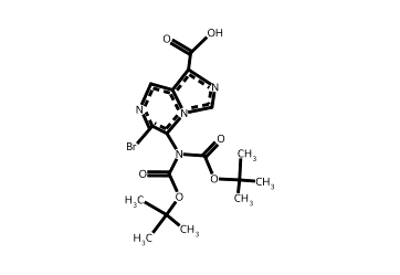 CC(C)(C)OC(=O)N(C(=O)OC(C)(C)C)c1c(Br)ncc2c(C(=O)O)ncn12